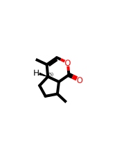 CC1=COC(=O)C2C(C)CC[C@H]12